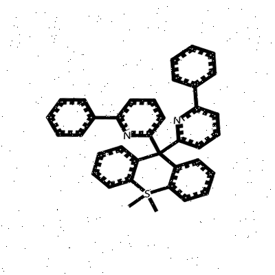 CS1(C)c2ccccc2C(c2cccc(-c3ccccc3)n2)(c2cccc(-c3ccccc3)n2)c2ccccc21